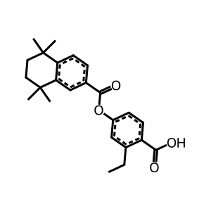 CCc1cc(OC(=O)c2ccc3c(c2)C(C)(C)CCC3(C)C)ccc1C(=O)O